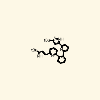 CC(C)(C)C(=N)/C=C/c1cccc(-c2ccccc2-c2cccc(-c3cc(C(C)(C)C)n[nH]3)n2)n1